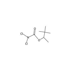 CC(OC(=O)N(Cl)Cl)C(C)(C)C